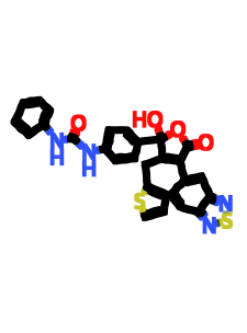 O=C(Nc1ccccc1)Nc1ccc(C2(O)OC(=O)C(c3ccc4nsnc4c3)=C2Cc2cccs2)cc1